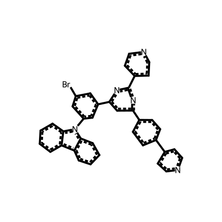 Brc1cc(-c2cc(-c3ccc(-c4ccncc4)cc3)nc(-c3ccncc3)n2)cc(-n2c3ccccc3c3ccccc32)c1